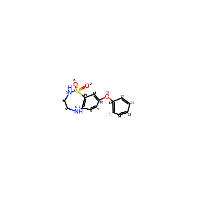 O=S1(=O)NCCNc2ccc(Oc3ccccc3)cc21